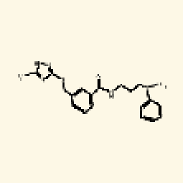 Cc1nc(SCc2cccc(C(=O)NCCCN(C)c3ccccc3)c2)n[nH]1